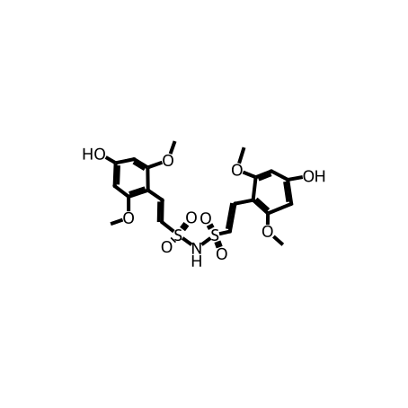 COc1cc(O)cc(OC)c1C=CS(=O)(=O)NS(=O)(=O)C=Cc1c(OC)cc(O)cc1OC